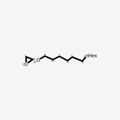 C1CO1.CCCCCCCCCCCC[O]